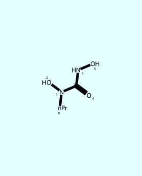 CCCN(O)C(=O)NO